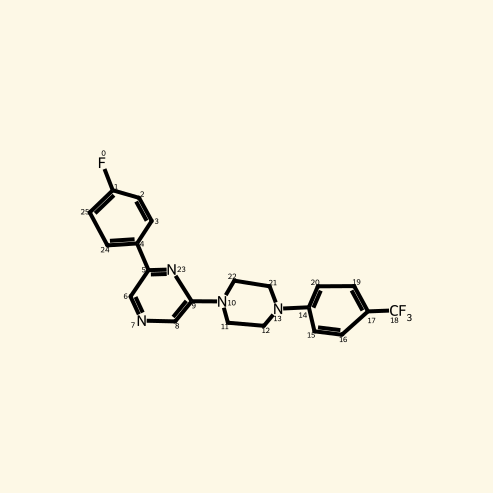 Fc1ccc(-c2cncc(N3CCN(c4ccc(C(F)(F)F)cc4)CC3)n2)cc1